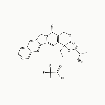 CCC1(OC(=O)[C@H](C)N)C(=O)OCc2c1cc1n(c2=O)Cc2cc3ccccc3nc2-1.O=C(O)C(F)(F)F